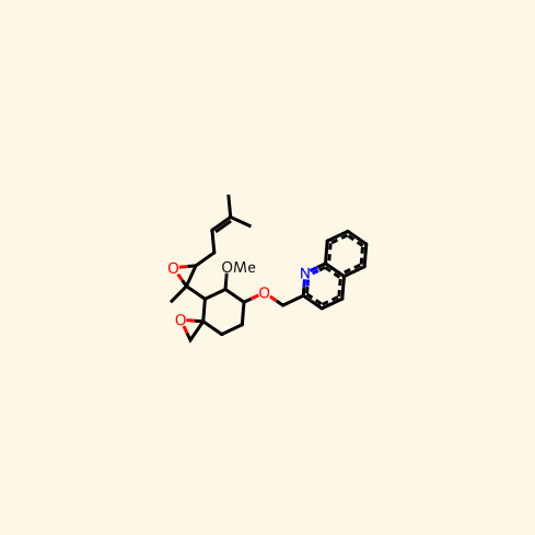 COC1C(OCc2ccc3ccccc3n2)CCC2(CO2)C1C1(C)OC1CC=C(C)C